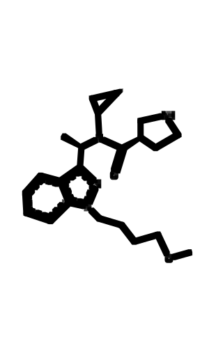 COCCCCn1nc([C@@H](C)N(C(=O)[C@@H]2CCNC2)C2CC2)c2ccccc21